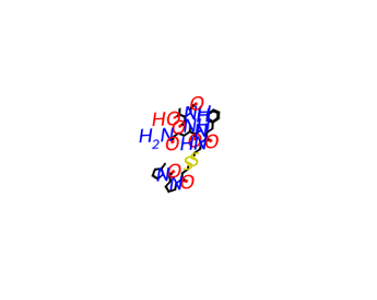 CC(O)C(NC=O)C(=O)NC(CCC(N)=O)C(=O)NC(Cc1ccccc1)C(=O)NCCSSCCC(=O)N1CCCC1C(=O)N1CCCC1C